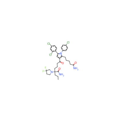 CCCC(CCCC(=O)c1cc(-c2ccc(Cl)cc2Cl)n(-c2ccc(Cl)cc2)c1CCCCC(N)=O)(C(N)=O)N1CCC(F)(F)C1